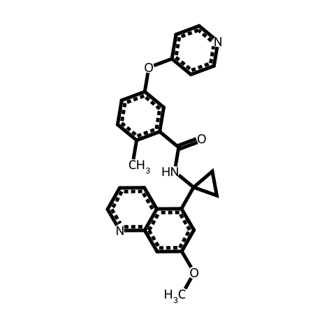 COc1cc(C2(NC(=O)c3cc(Oc4ccncc4)ccc3C)CC2)c2cccnc2c1